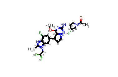 COc1nc(N[C@@H]2CN(C(C)=O)C[C@@H]2F)nn2ccc(-c3cc(F)c4nc(C)n(CC(F)F)c4c3)c12